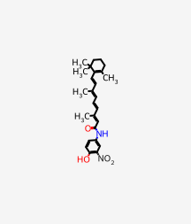 CC1=C(/C=C/C(C)=C/C=C/C(C)=C/C(=O)Nc2ccc(O)c([N+](=O)[O-])c2)C(C)(C)CCC1